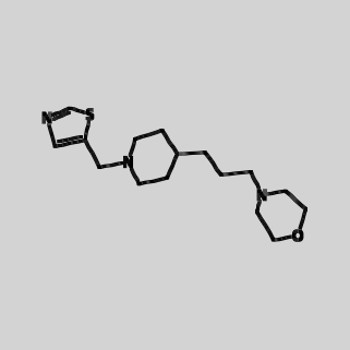 c1ncc(CN2CCC(CCCN3CCOCC3)CC2)s1